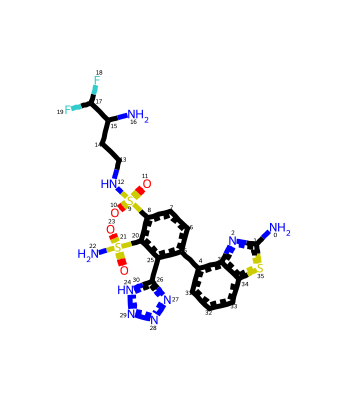 Nc1nc2c(-c3ccc(S(=O)(=O)NCCC(N)C(F)F)c(S(N)(=O)=O)c3-c3nnn[nH]3)cccc2s1